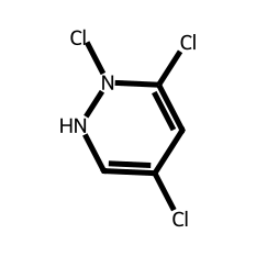 ClC1=CNN(Cl)C(Cl)=C1